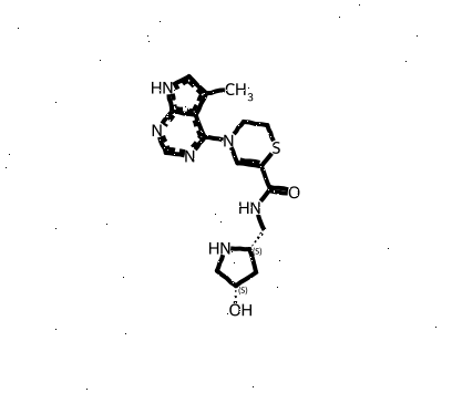 Cc1c[nH]c2ncnc(N3C=C(C(=O)NC[C@@H]4C[C@H](O)CN4)SCC3)c12